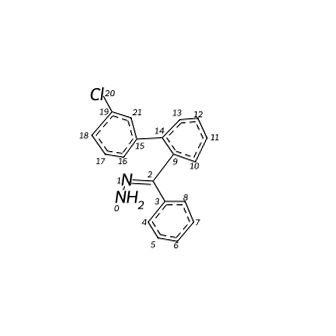 NN=C(c1ccccc1)c1ccccc1-c1cccc(Cl)c1